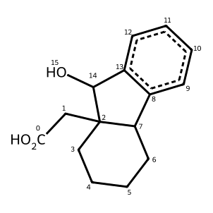 O=C(O)CC12CCCCC1c1ccccc1C2O